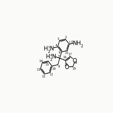 Nc1ccc(N)c(C(N)(Cc2ccccc2)C2=COCO2)c1